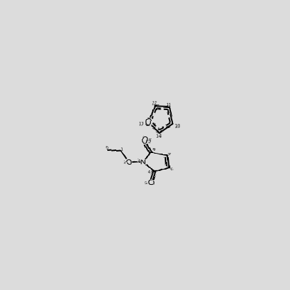 CCON1C(=O)C=CC1=O.c1ccoc1